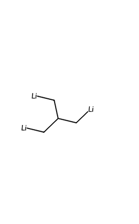 [Li][CH2]C([CH2][Li])[CH2][Li]